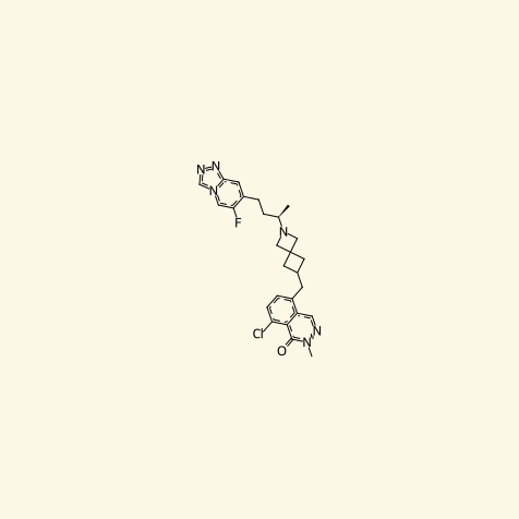 C[C@H](CCc1cc2nncn2cc1F)N1CC2(CC(Cc3ccc(Cl)c4c(=O)n(C)ncc34)C2)C1